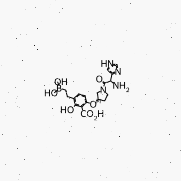 NC(C(=O)N1CC[C@@H](Oc2ccc(CCB(O)O)c(O)c2C(=O)O)C1)c1c[nH]cn1